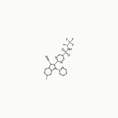 Cc1ccc2c(C#N)c(-c3ncc(S(=O)(=O)N[C@@H](C)C(F)(F)F)cn3)n(-c3ccccn3)c2c1